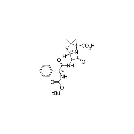 CC(C)(C)OC(=O)N[C@H](C(=O)NC1C(=O)N2[C@H]1SC1(C)CC21C(=O)O)c1ccccc1